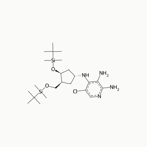 CC(C)(C)[Si](C)(C)OC[C@@H]1C[C@@H](Nc2c(Cl)cnc(N)c2N)C[C@@H]1O[Si](C)(C)C(C)(C)C